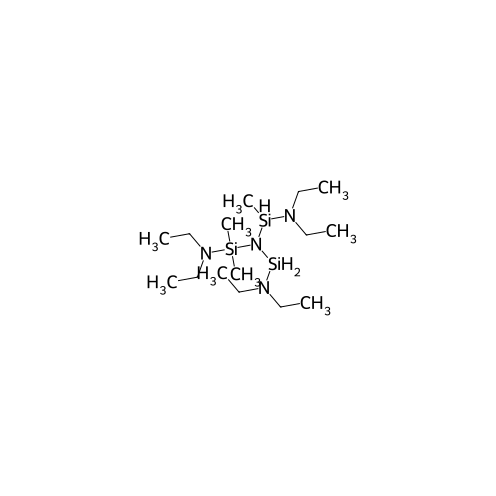 CCN(CC)[SiH2]N([SiH](C)N(CC)CC)[Si](C)(C)N(CC)CC